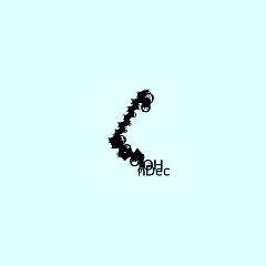 CCCCCCCCCCC(O)C1CCC(C2CCC(C3CCC(CCCCCCCCCC4=CCOC4=O)O3)O2)O1